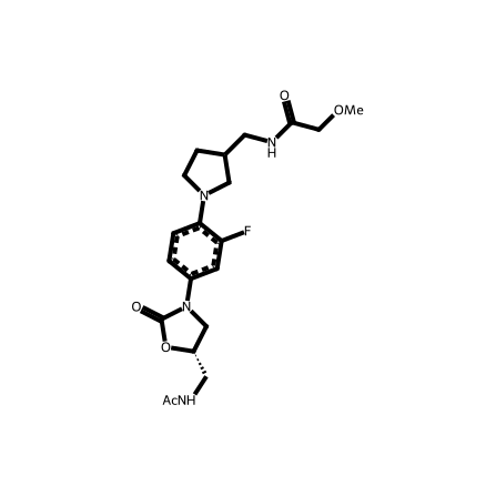 COCC(=O)NCC1CCN(c2ccc(N3C[C@H](CNC(C)=O)OC3=O)cc2F)C1